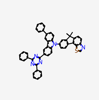 CC1(C)c2cc(-n3c4ccc(-c5ccccc5)cc4c4cc(-c5nc(-c6ccccc6)nc(-c6ccccc6)n5)ccc43)ccc2-c2c1ccc1ncsc21